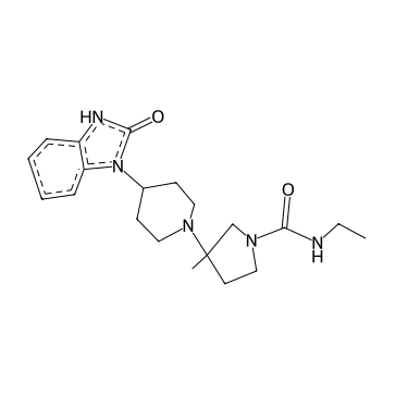 CCNC(=O)N1CCC(C)(N2CCC(n3c(=O)[nH]c4ccccc43)CC2)C1